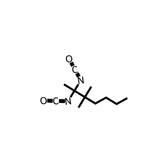 CCCCC(C)(C)C(C)(N=C=O)N=C=O